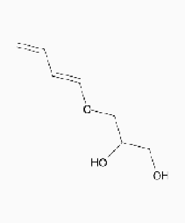 C=CC=COCC(O)CO